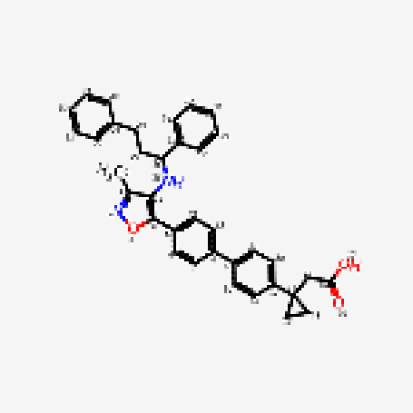 Cc1noc(-c2ccc(-c3ccc(C4(CC(=O)O)CC4)cc3)cc2)c1NC(CCc1ccccc1)c1ccccc1